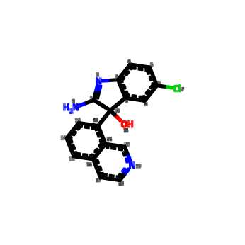 NC1=Nc2ccc(Cl)cc2C1(O)c1cccc2ccncc12